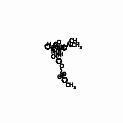 CCN(CC)c1ccc(NC2(NC(C)=O)C(=O)N(c3ccccc3)N=C2NC(=O)c2ccc(OCCCS(=O)(=O)c3ccc(C)cc3)cc2)cc1